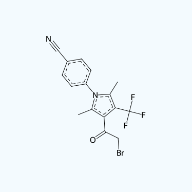 Cc1c(C(=O)CBr)c(C(F)(F)F)c(C)n1-c1ccc(C#N)cc1